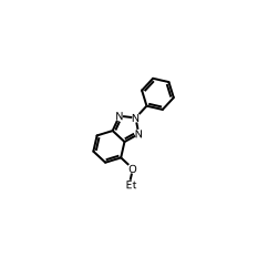 CCOc1cccc2nn(-c3ccccc3)nc12